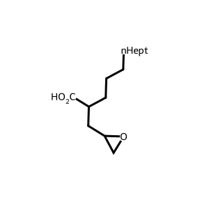 CCCCCCCCCCC(CC1CO1)C(=O)O